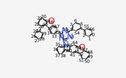 c1ccc(-c2cccc(-c3nc(-c4ccc5c(c4)oc4cccc(-c6ccccc6)c45)nc(-n4c5ccccc5c5cc6c(cc54)oc4ccccc46)n3)c2)cc1